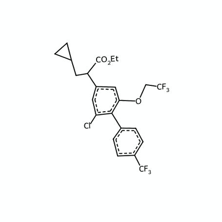 CCOC(=O)C(CC1CC1)c1cc(Cl)c(-c2ccc(C(F)(F)F)cc2)c(OCC(F)(F)F)c1